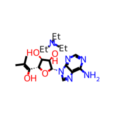 CC(C)=C(O)[C@H]1O[C@@H](n2cnc3c(N)ncnc32)[C@H](O)[C@@H]1O.CCN(CC)CC